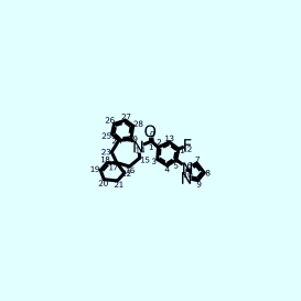 O=C(c1ccc(-n2cccn2)c(F)c1)N1CCC2(C=CCCC2)Cc2ccccc21